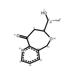 C[C@@H](O)C1CC(=O)c2ncccc2CO1